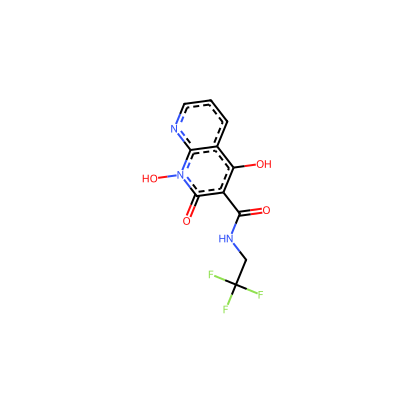 O=C(NCC(F)(F)F)c1c(O)c2cccnc2n(O)c1=O